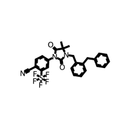 CC1(C)C(=O)N(c2ccc(C#N)c(S(F)(F)(F)(F)F)c2)C(=O)N1Cc1ccccc1Cc1ccccc1